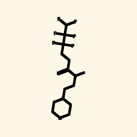 CN(CCN1CCOCC1)C(=O)CCC(F)(F)C(F)(F)C(F)F